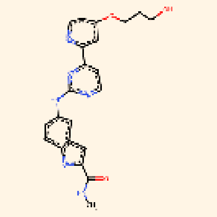 CNC(=O)c1cc2cc(Nc3nccc(-c4cc(OCCCO)ccn4)n3)ccc2[nH]1